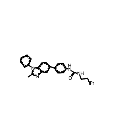 Cc1nc2cc(-c3ccc(NC(=O)NCCC(C)C)cc3)ccc2n1-c1ccccc1